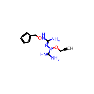 C#CCON(N=C(N)NOCc1ccccc1)C(=N)N